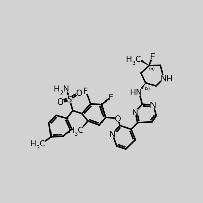 Cc1ccc(C(c2c(C)cc(Oc3ncccc3-c3ccnc(N[C@@H]4CNC[C@@](C)(F)C4)n3)c(F)c2F)S(N)(=O)=O)cc1